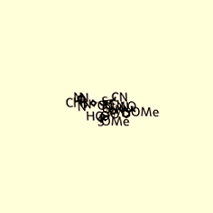 COC(=O)c1cccc2c1nnn2[C@@H]1O[C@H](COP(O)(=S)OC)[C@@H](OP(=S)(OCCC#N)OC[C@H]2C[C@@H](n3cnc4c(Cl)ncnc43)C2)[C@H]1F